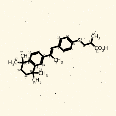 CC(=Cc1ccc(SCC(C)C(=O)O)cc1)c1ccc2c(c1)C(C)(C)CCC2(C)C